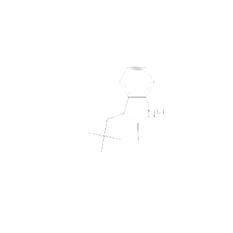 Cc1[nH]c2ccccc2c1CC(C)(C)C